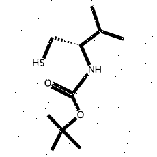 CC(C)[C@@H](CS)NC(=O)OC(C)(C)C